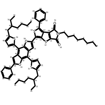 CCCCCCCCN1C(=O)c2sc3c(-c4cc5c(-c6ccc(CC(CC)CCCC)s6)c6oc(-c7ccccc7)cc6c(-c6ccc(CC(CC)CCCC)s6)c5o4)sc(-c4ccccc4)c3c2C1=O